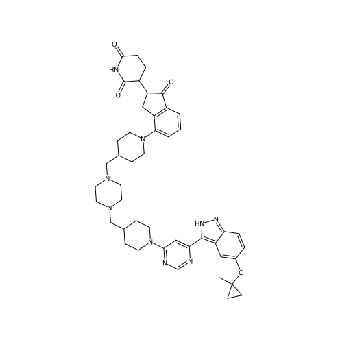 CC1(Oc2ccc3n[nH]c(-c4cc(N5CCC(CN6CCN(CC7CCN(c8cccc9c8CC(C8CCC(=O)NC8=O)C9=O)CC7)CC6)CC5)ncn4)c3c2)CC1